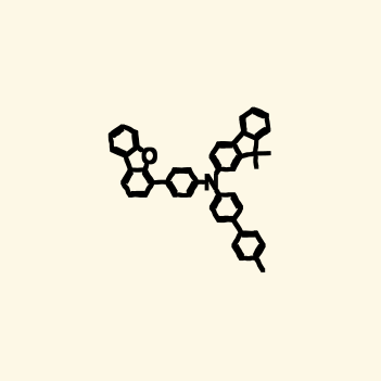 Cc1ccc(-c2ccc(N(c3ccc(-c4cccc5c4oc4ccccc45)cc3)c3ccc4c(c3)C(C)(C)c3ccccc3-4)cc2)cc1